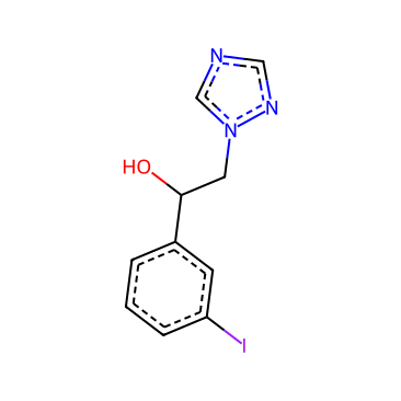 OC(Cn1cncn1)c1cccc(I)c1